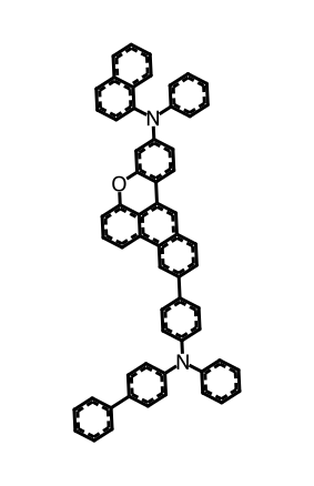 c1ccc(-c2ccc(N(c3ccccc3)c3ccc(-c4ccc5cc6c7c(cccc7c5c4)Oc4cc(N(c5ccccc5)c5cccc7ccccc57)ccc4-6)cc3)cc2)cc1